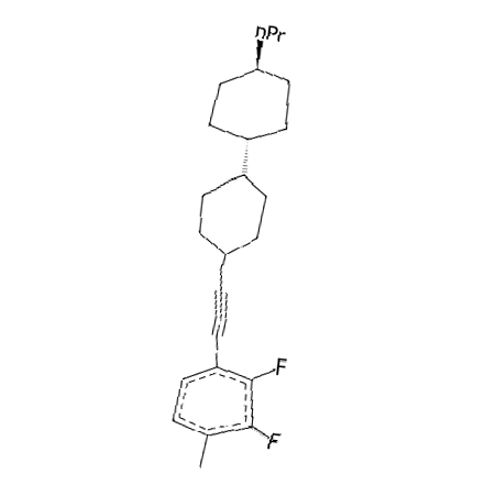 CCC[C@H]1CC[C@H](C2CCC(C#Cc3ccc(C)c(F)c3F)CC2)CC1